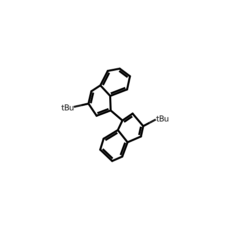 CC(C)(C)c1cc(-c2cc(C(C)(C)C)cc3ccccc23)c2ccccc2c1